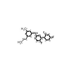 CSCc1cc(C)cc(Nc2ncc(F)c(-c3ccc(F)cc3F)n2)c1